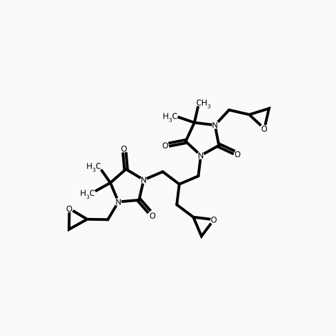 CC1(C)C(=O)N(CC(CC2CO2)CN2C(=O)N(CC3CO3)C(C)(C)C2=O)C(=O)N1CC1CO1